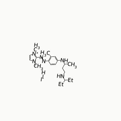 CCC(CC)NCCC(C)Nc1ccc(N=Nc2n(C)cc[n+]2C)c(C)c1.I.[I-]